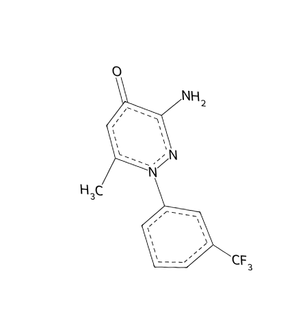 Cc1cc(=O)c(N)nn1-c1cccc(C(F)(F)F)c1